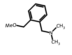 COCc1ccccc1CN(C)C